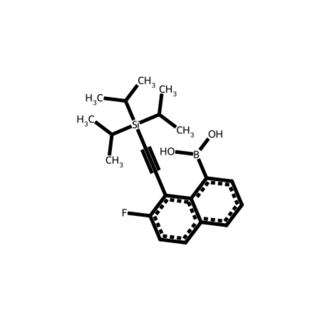 CC(C)[Si](C#Cc1c(F)ccc2cccc(B(O)O)c12)(C(C)C)C(C)C